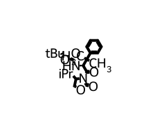 CC(C)C1COC(=O)N1C(=O)[C@@H](NC(=O)OC(C)(C)C)C(C)(C)c1ccccc1